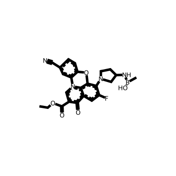 CCOC(=O)c1cn2c3c(c(N4CCC(NB(C)O)C4)c(F)cc3c1=O)Oc1ccc(C#N)cc1-2